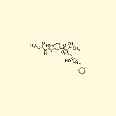 COC(=O)Nc1nc2cc(S(=O)(=O)[C@H](NC[C@H](O)CNCc3ccccc3)C(C)C)ccc2[nH]1